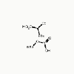 CCCCC(CC)C(=O)O.CCCC[O][Ti](=[O])[OH]